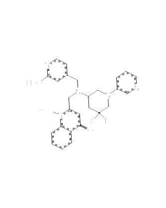 Cc1cc(CN(Cc2cc(=O)c3ccccc3n2C)C2CN(c3cccnc3)CC(F)(F)C2)ccn1